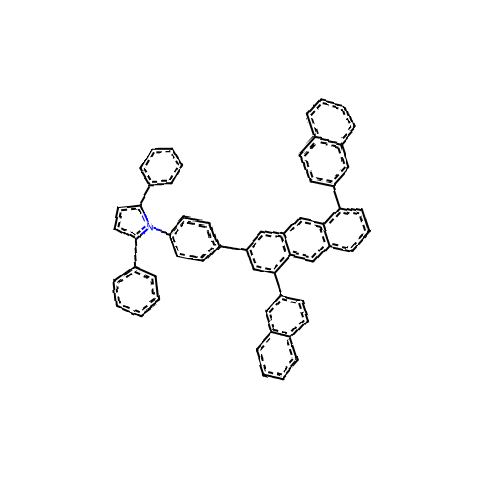 c1ccc(-c2ccc(-c3ccccc3)n2-c2ccc(-c3cc(-c4ccc5ccccc5c4)c4cc5cccc(-c6ccc7ccccc7c6)c5cc4c3)cc2)cc1